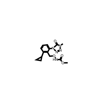 COC(=O)NOCc1c(C2CC2)cccc1-n1nnn(C)c1=O